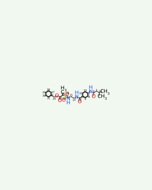 CC(C)CC(=O)Nc1ccc(C(=O)NCCNS(=O)(=O)C(C)C(=O)OCc2ccccc2)cc1